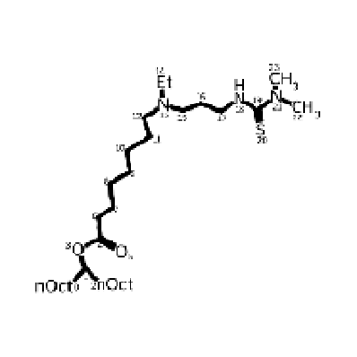 CCCCCCCCC(CCCCCCCC)OC(=O)CCCCCCCN(CC)CCCNC(=S)N(C)C